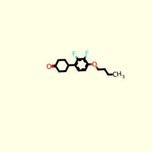 CCCCOc1ccc(C2CCC(=O)CC2)c(F)c1F